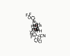 Cc1nc2c(F)c(-c3cccc(Cl)c3Cl)c(CCC#N)cc2c2c1cc([C@H]1[C@H]3C[C@H](CN(c4cccc(OC(F)F)c4)C3)N1C(=O)C1CC1)n2[C@H]1[C@H]2CN[C@@H]1C2